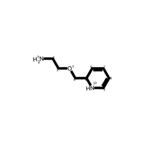 NCCOCC1C=CC=CN1